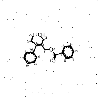 CC/C(COC(=O)c1ccccc1)=C(\CI)c1ccccc1